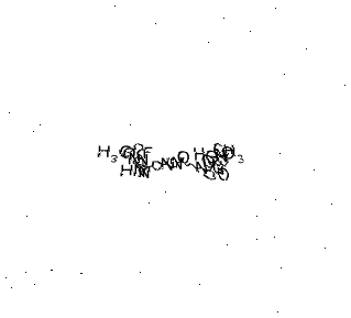 COc1cccc(F)c1-c1ncc2[nH]nc(-c3ccc(N4CCN(C(=O)CCCNc5cccc6c5C(=O)N(C5CCC(=O)N(C)C5=O)C6=O)CC4)cc3)c2n1